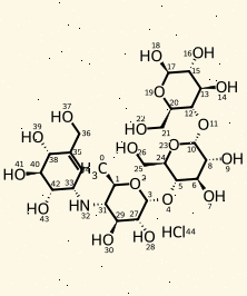 C[C@H]1O[C@H](O[C@H]2[C@H](O)[C@@H](O)[C@@H](O[C@H]3[C@H](O)[C@@H](O)[C@H](O)O[C@@H]3CO)O[C@@H]2CO)[C@H](O)[C@@H](O)[C@@H]1N[C@H]1C=C(CO)[C@@H](O)[C@H](O)[C@H]1O.Cl